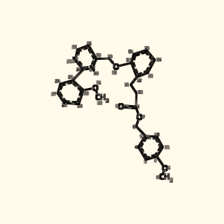 COc1ccc(COC(=O)[CH]Cc2ccccc2OCc2ccnc(-c3ccccc3OC)n2)cc1